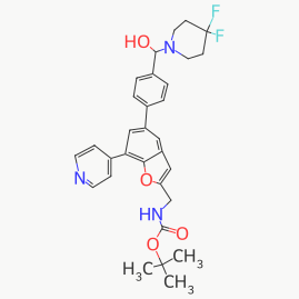 CC(C)(C)OC(=O)NCc1cc2cc(-c3ccc(C(O)N4CCC(F)(F)CC4)cc3)cc(-c3ccncc3)c2o1